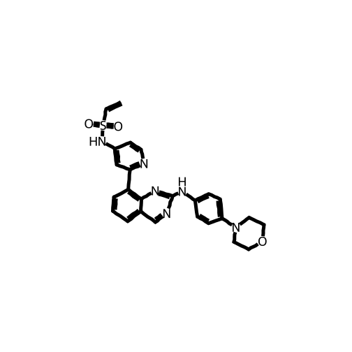 C=CS(=O)(=O)Nc1ccnc(-c2cccc3cnc(Nc4ccc(N5CCOCC5)cc4)nc23)c1